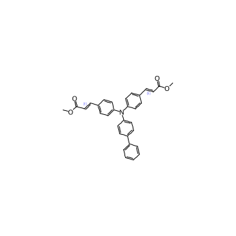 COC(=O)/C=C/c1ccc(N(c2ccc(/C=C/C(=O)OC)cc2)c2ccc(-c3ccccc3)cc2)cc1